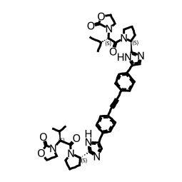 CC(C)[C@@H](C(=O)N1CCC[C@H]1c1ncc(-c2ccc(C#Cc3ccc(-c4cnc([C@@H]5CCCN5C(=O)[C@H](C(C)C)N5CCOC5=O)[nH]4)cc3)cc2)[nH]1)N1CCOC1=O